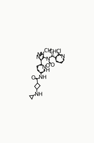 C[C@H](c1cccnc1Cl)N(C(=O)O)c1c(-c2ccc(NC(=O)C3CC(NC4CC4)C3)cn2)nnn1C